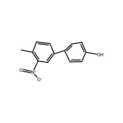 Cc1ccc(-c2ccc(O)cc2)cc1[N+](=O)[O-]